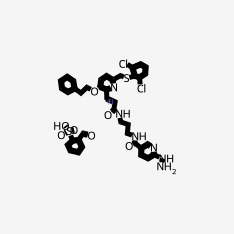 NNc1ccc(C(=O)NCCCNC(=O)/C=C/c2nc(CSc3c(Cl)cccc3Cl)ccc2OCCc2ccccc2)cn1.O=Cc1ccccc1S(=O)(=O)O